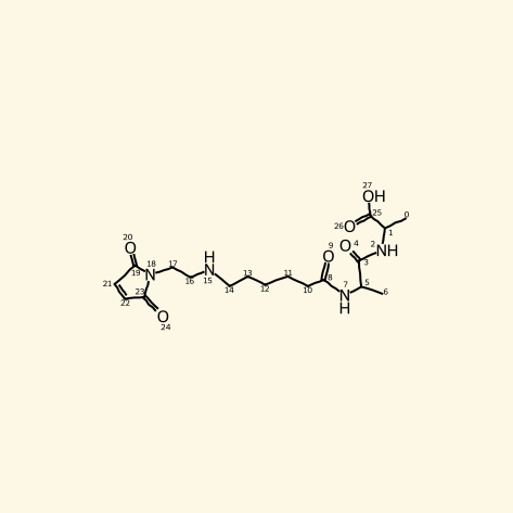 CC(NC(=O)C(C)NC(=O)CCCCCNCCN1C(=O)C=CC1=O)C(=O)O